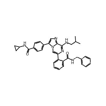 CC(C)CNc1nc(-c2ccccc2C(=O)NCc2ccccc2)cn2c(-c3ccc(C(=O)NC4CC4)cc3)cnc12